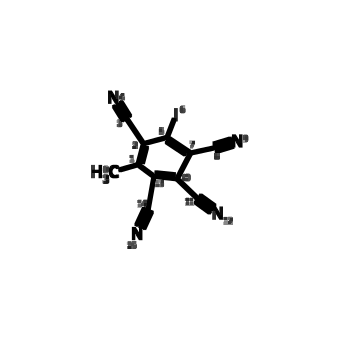 Cc1c(C#N)c(I)c(C#N)c(C#N)c1C#N